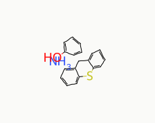 N.Oc1ccccc1.c1ccc2c(c1)Cc1ccccc1S2